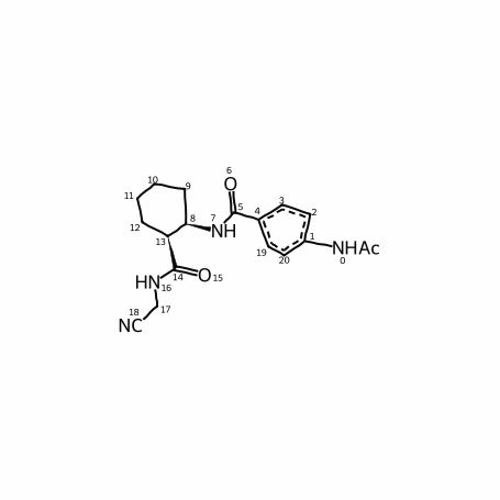 CC(=O)Nc1ccc(C(=O)N[C@@H]2CCCC[C@@H]2C(=O)NCC#N)cc1